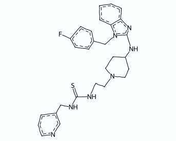 Fc1ccc(Cn2c(NC3CCN(CCNC(=S)NCc4cccnc4)CC3)nc3ccccc32)cc1